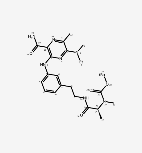 CCN(C)c1nc(Nc2cccc(CCNC(=O)[C@H](C)N(C)C(=O)OC(C)(C)C)c2)c(C(N)=O)nc1C